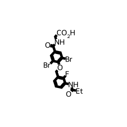 CCC(=O)Nc1cccc(COc2c(Br)cc(C(=O)NCC(=O)O)cc2Br)c1F